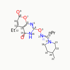 CCC/C(=N\Oc1nc2oc(=O)cc(CC)c2c(=O)[nH]1)N1CCC(C)CC1